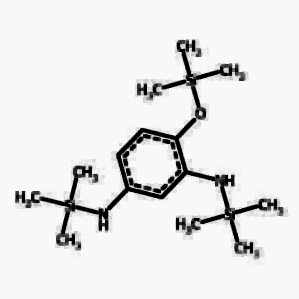 C[Si](C)(C)Nc1ccc(O[Si](C)(C)C)c(N[Si](C)(C)C)c1